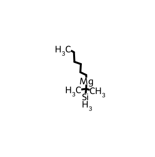 CCCCC[CH2][Mg][C](C)(C)[SiH3]